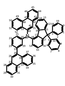 c1ccc(C2(c3ccccc3)c3ccccc3-c3c(N(c4cccc(-c5cc6ccccc6c6ccccc56)c4)c4cc5ccccc5c5ccccc45)cccc32)cc1